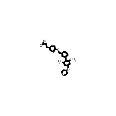 Cc1cc(OC2CCSCC2)cc(C)c1-c1cccc(COc2ccc(CCC(=O)O)cc2)c1